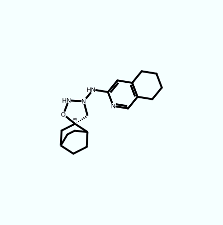 c1nc(NN2C[C@]3(CC4CCC3CC4)ON2)cc2c1CCCC2